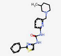 CC1CCCN(Cc2cccc(NC(=O)Nc3csc(-c4ccccc4)n3)n2)C1